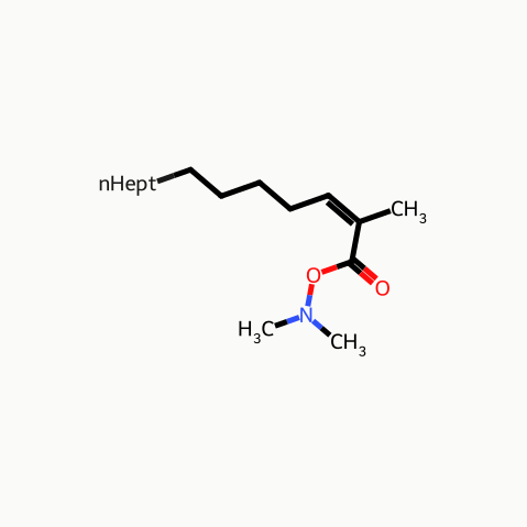 CCCCCCCCCCCC=C(C)C(=O)ON(C)C